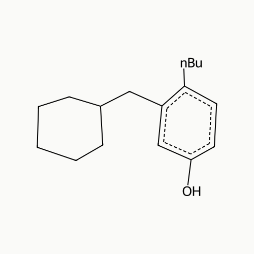 CCCCc1ccc(O)cc1CC1CCCCC1